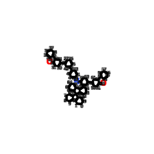 c1ccc(C2(c3ccccc3)c3ccccc3-c3c(N(c4ccc(-c5cccc(-c6ccc7oc8ccccc8c7c6)c5)cc4)c4ccc(-c5ccc6oc7ccccc7c6c5)cc4)cccc32)cc1